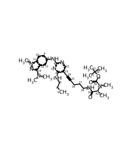 CCCNc1nc(Nc2ccc3c(c2)c(N(C)C)nn3C)ncc1C#CCCCNC(=O)[C@H](C)N(C)C(=O)OC(C)(C)C